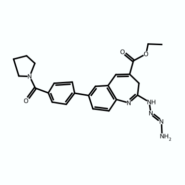 CCOC(=O)C1=Cc2cc(-c3ccc(C(=O)N4CCCC4)cc3)ccc2N=C(NN=NN)C1